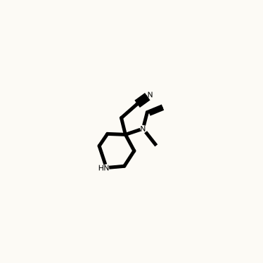 C=CN(C)C1(CC#N)CCNCC1